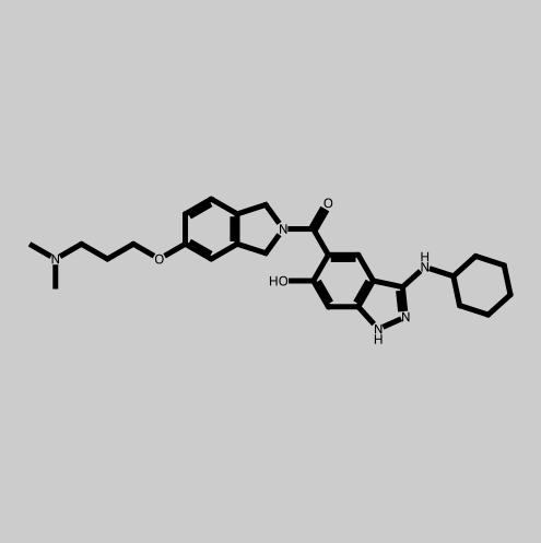 CN(C)CCCOc1ccc2c(c1)CN(C(=O)c1cc3c(NC4CCCCC4)n[nH]c3cc1O)C2